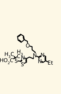 CCc1cnc(N(CCCOCc2ccccc2)CCc2csc(SC(C)(C)C(=O)O)n2)nc1